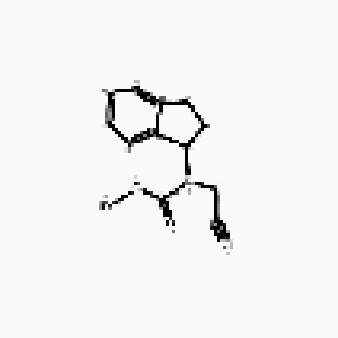 C#CCN(C(=O)OC(C)C)C1CCc2ccccc21